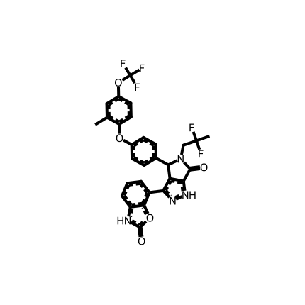 Cc1cc(OC(F)(F)F)ccc1Oc1ccc(C2c3c(-c4cccc5[nH]c(=O)oc45)n[nH]c3C(=O)N2CC(C)(F)F)cc1